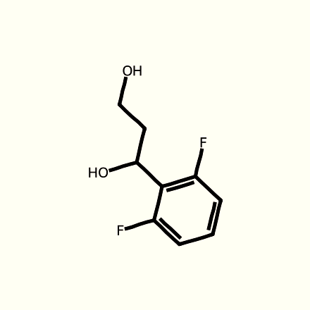 OCCC(O)c1c(F)cccc1F